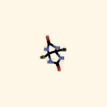 CCCC12NC(=O)NC1(CCC)NC(=O)N2